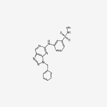 CCCCNS(=O)(=O)c1cccc(Nc2ncc3nnn(Cc4ccccc4)c3n2)c1